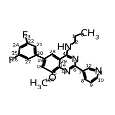 CCCNc1nc(-c2cccnc2)nc2c(OC)cc(-c3cc(F)cc(F)c3)cc12